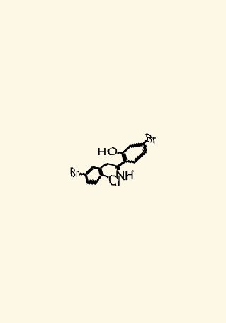 N=C(Cc1cc(Br)ccc1Cl)c1ccc(Br)cc1O